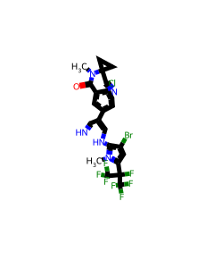 CN(C(=O)c1cc(/C(C=N)=C/Nc2c(Br)cc(C(F)(C(F)(F)F)C(F)(F)F)n2C)ccc1Cl)C1(C#N)CC1